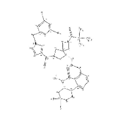 CC(C)(C)OC(=O)c1c(COC[C@@H]2CN(C(=O)c3cnn(Cc4cc(F)cc(F)c4)c3)CC23CN(C(=O)C(C)(C)C(F)(F)F)C3)cccc1C1CCC(F)(F)CC1